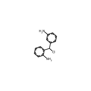 Nc1cccc(C(Cl)c2ccccc2N)c1